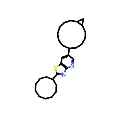 c1nc2nc(C3CCCCCCCCC3)sc2cc1C1CCCCCCC2CC2CCCC1